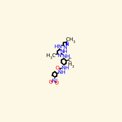 Cc1cc(Nc2cc(C)nc(Nc3ccc(NC(=O)Nc4cccc([N+](=O)[O-])c4)cc3C)n2)[nH]n1